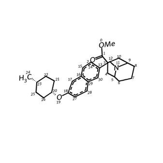 COC(=O)C1CC2CCCC(C1)N2Cc1ccc2cc(O[C@H]3CC[C@@H](C)CC3)ccc2c1